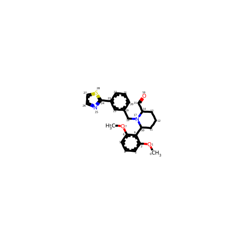 COc1cccc(OC)c1C1CCCC(C=O)N1Cc1cccc(-c2nccs2)c1